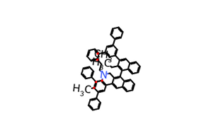 CCCCN(CCCC)Cc1c(-c2cc(-c3ccccc3)cc(-c3ccccc3)c2)cc2ccccc2c1-c1c(CC)c(-c2cc(-c3ccccc3)cc(-c3ccccc3)c2)cc2ccccc12